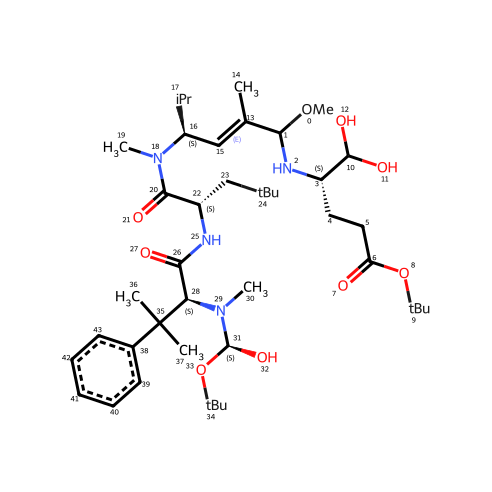 COC(N[C@@H](CCC(=O)OC(C)(C)C)C(O)O)/C(C)=C/[C@H](C(C)C)N(C)C(=O)[C@H](CC(C)(C)C)NC(=O)[C@@H](N(C)[C@@H](O)OC(C)(C)C)C(C)(C)c1ccccc1